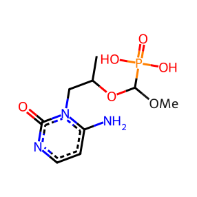 COC(OC(C)Cn1c(N)ccnc1=O)P(=O)(O)O